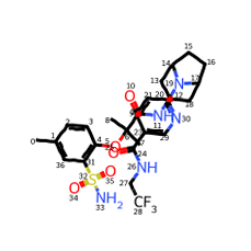 Cc1ccc(OC(C)(C)C(=O)NC2CC3CCC(C2)N3c2ccc(C(=O)NCC(F)(F)F)cn2)c(S(N)(=O)=O)c1